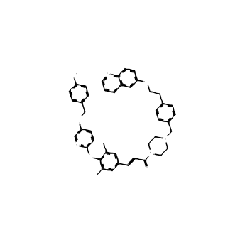 Cc1cc(/C=C/C(=O)N2CCN(Cc3ccc(CCOc4ccc5ncccc5c4)cc3)CC2)cc(C)c1Oc1ccc(OCc2ccc(C#N)cc2)cn1